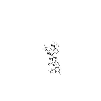 COCC1=C(C(=O)OC(C)(C)C)N2C(=O)C(NC(=O)[C@H](NC(=O)OC(C)(C)C)c3cccc(NS(C)(=O)=O)c3)[C@@H]2SC1